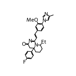 CCC1CCCC2(c3ccc(F)cc3)CC(=O)N=C(/C=C/c3ccc(-n4cnc(C)c4)c(OC)c3)N12